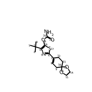 CC(C)(C)c1nc(C2=CCC3(CC2)OCCO3)sc1OC(N)=O